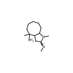 BC1(C)CCCCCC2C1C/C(=N\C)N2C